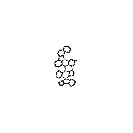 Cc1cc2c3c(c1)-n1c4c(cccc4c4ccc5ccccc5c41)B3N1c3ccccc3[Si]3(c4ccccc4-c4ccccc43)c3cccc-2c31